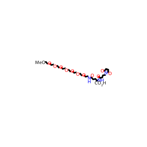 COCCOCCOCCOCCOCCOCCOCCOCCNC(=O)CC[C@H](NC(=O)CCCN1C(=O)C=CC1=O)C(=O)O